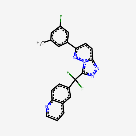 Cc1cc(F)cc(-c2ccc3nnc(C(F)(F)c4ccc5ncccc5c4)n3n2)c1